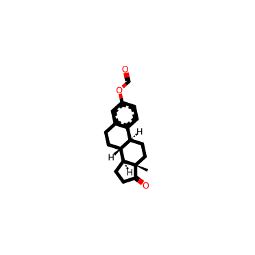 C[C@]12CC[C@@H]3c4ccc(OC=O)cc4CC[C@H]3[C@@H]1CCC2=O